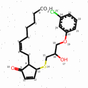 O=C(O)CCCC/C=C\CC1C(=O)C=CC1SCC(O)COc1cccc(Cl)c1